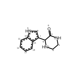 O=C1NCCNC1c1c[nH]c2ccccc12